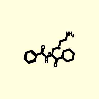 NCCSC[C@H](NC(=O)c1ccccc1)C(=O)N1CCCCC1